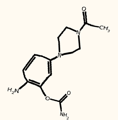 CC(=O)N1CCN(c2ccc(N)c(OC(N)=O)c2)CC1